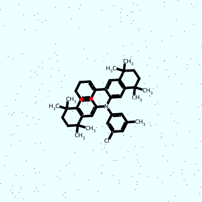 Cc1cc(Cl)cc(N(c2ccc3c(c2)C(C)(C)CCC3(C)C)c2cc3c(cc2C2=CCCC=C2)C(C)(C)CCC3(C)C)c1